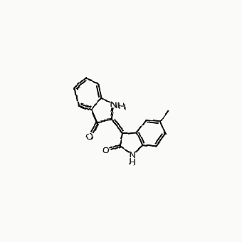 Cc1ccc2c(c1)C(=C1Nc3ccccc3C1=O)C(=O)N2